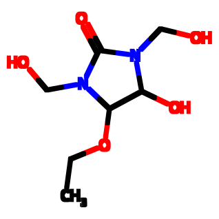 CCOC1C(O)N(CO)C(=O)N1CO